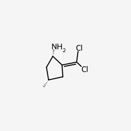 C[C@H]1CC(=C(Cl)Cl)[C@@H](N)C1